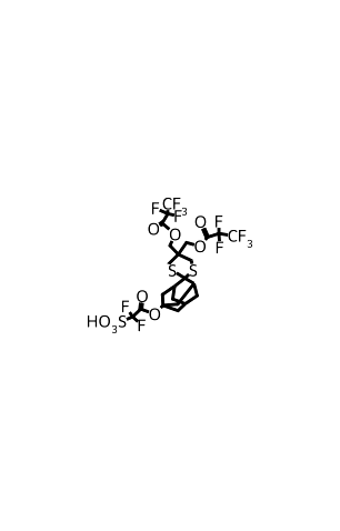 O=C(OCC1(COC(=O)C(F)(F)C(F)(F)F)CSC2(SC1)C1CC3CC2CC(OC(=O)C(F)(F)S(=O)(=O)O)(C3)C1)C(F)(F)C(F)(F)F